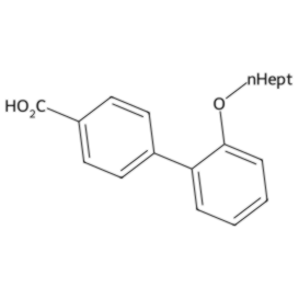 CCCCCCCOc1ccccc1-c1ccc(C(=O)O)cc1